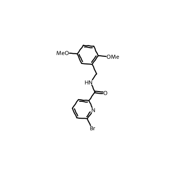 COc1ccc(OC)c(CNC(=O)c2cccc(Br)n2)c1